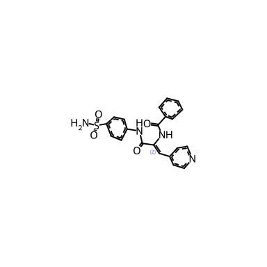 NS(=O)(=O)c1ccc(NC(=O)/C(=C/c2ccncc2)NC(=O)c2ccccc2)cc1